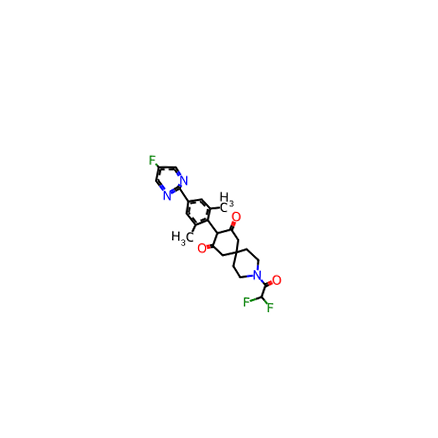 Cc1cc(-c2ncc(F)cn2)cc(C)c1C1C(=O)CC2(CCN(C(=O)C(F)F)CC2)CC1=O